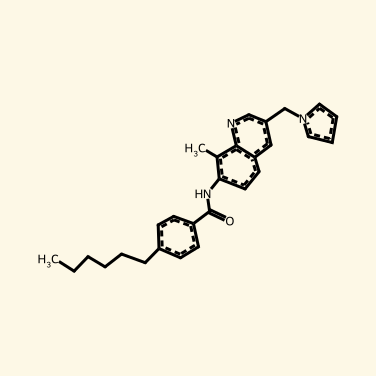 CCCCCCc1ccc(C(=O)Nc2ccc3cc(Cn4cccc4)cnc3c2C)cc1